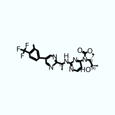 Cc1cc(-c2cnc([C@H](C)Nc3nccc(N4C(=O)OC[C@@H]4[C@@H](C)O)n3)nc2)ccc1C(F)(F)F